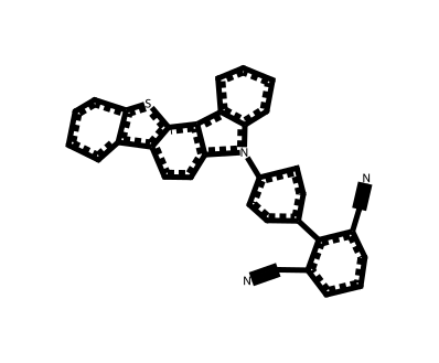 N#Cc1cccc(C#N)c1-c1ccc(-n2c3ccccc3c3c4sc5ccccc5c4ccc32)cc1